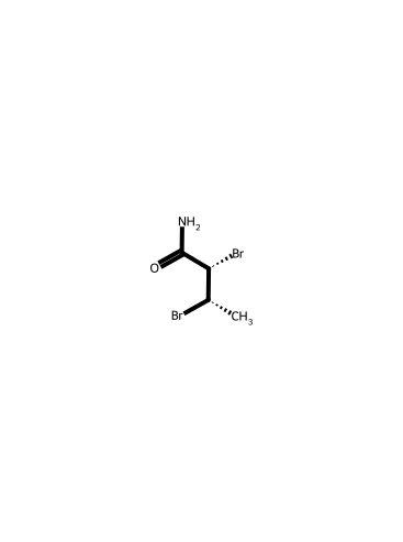 C[C@H](Br)[C@@H](Br)C(N)=O